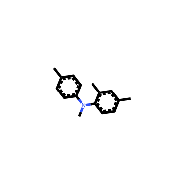 Cc1ccc(N(C)c2ccc(C)cc2C)cc1